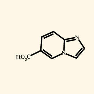 CCOC(=O)c1ccc2nccn2c1